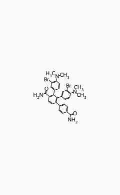 CN(C)c1ccc(-c2c(C(N)=O)ccc(-c3ccc(C(N)=O)cc3)c2-c2ccc(N(C)C)c(Br)c2)cc1Br